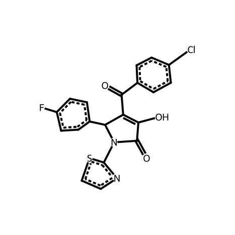 O=C(C1=C(O)C(=O)N(c2nccs2)C1c1ccc(F)cc1)c1ccc(Cl)cc1